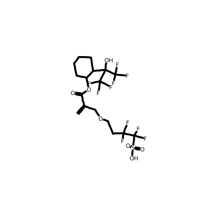 C=C(COCCC(F)(F)C(F)(F)S(=O)(=O)O)C(=O)OC1CCCCC1C(O)(C(F)(F)F)C(F)(F)F